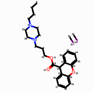 CCCCN1CCN(CCCOC(=O)C2c3ccccc3Oc3ccccc32)CC1.CI.CI